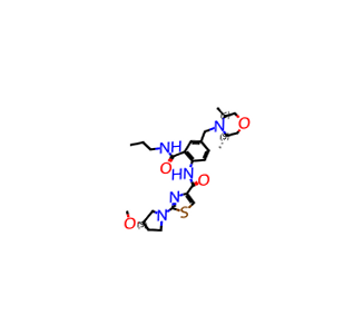 CCCNC(=O)c1cc(CN2[C@@H](C)COC[C@@H]2C)ccc1NC(=O)c1csc(N2CC[C@H](OC)C2)n1